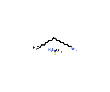 CC(N)=S.CCCCCCCC/C=C\CCCCCCCCN